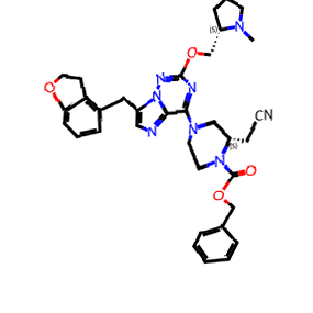 CN1CCC[C@H]1COc1nc(N2CCN(C(=O)OCc3ccccc3)[C@@H](CC#N)C2)c2ncc(Cc3cccc4c3CCO4)n2n1